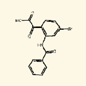 O=C(O)C(=O)c1ccc(Br)cc1NC(=O)c1ccccc1